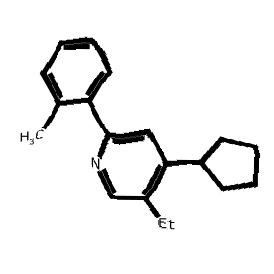 CCc1cnc(-c2ccccc2C)cc1C1CCCC1